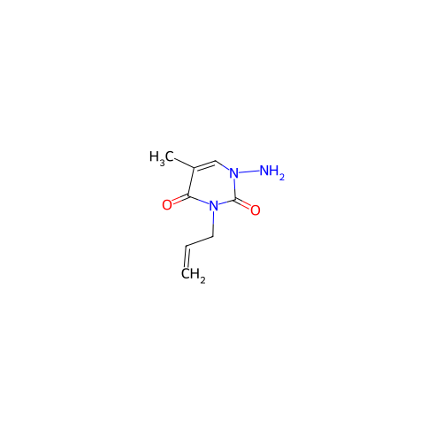 C=CCn1c(=O)c(C)cn(N)c1=O